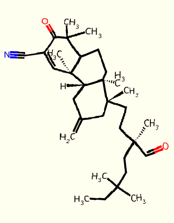 C=C1C[C@@H]2[C@@]3(C)C=C(C#N)C(=O)C(C)(C)C3CC[C@@]2(C)[C@](C)(CC[C@@](C)(C=O)CCC(C)(C)CC)C1